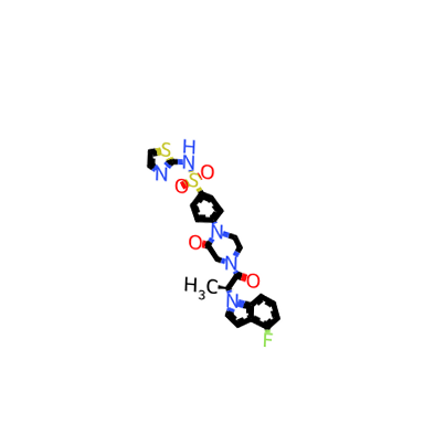 C[C@@H](C(=O)N1CCN(c2ccc(S(=O)(=O)Nc3nccs3)cc2)C(=O)C1)n1ccc2c(F)cccc21